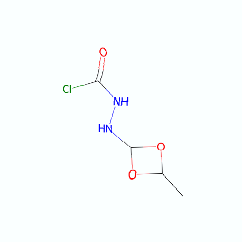 CC1OC(NNC(=O)Cl)O1